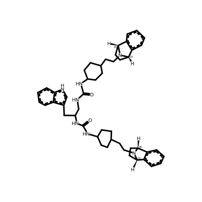 O=C(NCC(Cc1c[nH]c2ccccc12)NC(=O)NC1CCC(CCN2[C@@H]3CC[C@H]2c2ccccc23)CC1)NC1CCC(CCN2[C@@H]3CC[C@H]2c2ccccc23)CC1